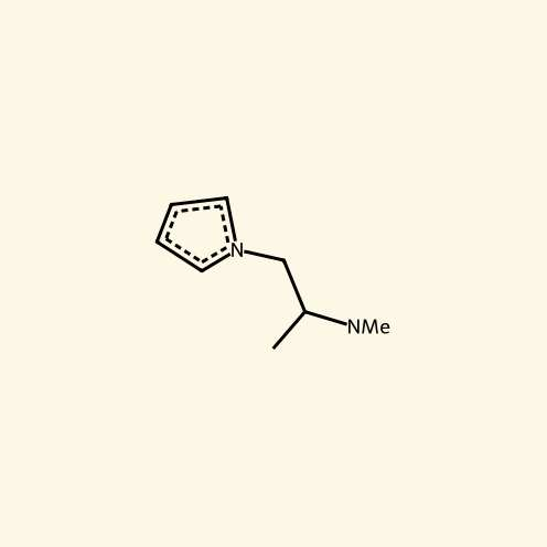 CNC(C)Cn1cccc1